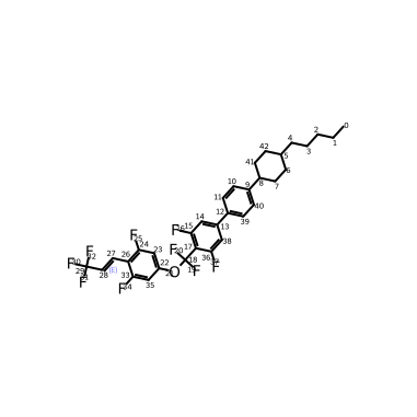 CCCCCC1CCC(c2ccc(-c3cc(F)c(C(F)(F)Oc4cc(F)c(/C=C/C(F)(F)F)c(F)c4)c(F)c3)cc2)CC1